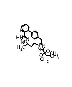 CCCCn1nc(C(CC)(OC)OC)nc1Cc1ccc(-c2cccnc2-c2nnn[nH]2)cc1